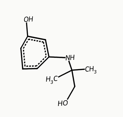 CC(C)(CO)Nc1cccc(O)c1